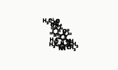 CCS(=O)(=O)n1ccc2c(-c3c(C)c4c(c5c3OCC5)NC(C)(C)c3nnc(C)n3-4)cccc21